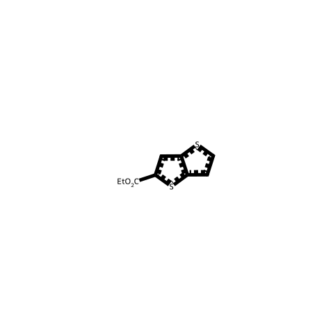 CCOC(=O)c1cc2sccc2s1